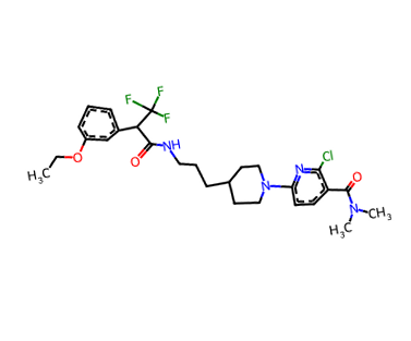 CCOc1cccc(C(C(=O)NCCCC2CCN(c3ccc(C(=O)N(C)C)c(Cl)n3)CC2)C(F)(F)F)c1